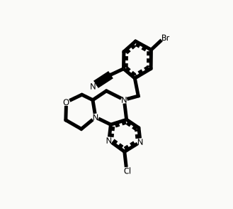 N#Cc1ccc(Br)cc1CN1CC2COCCN2c2nc(Cl)ncc21